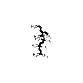 C=C(NC(C)(C)CCC(C)(C)CCC(C)C)C(/C=C\C)=C/C=C\C